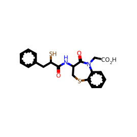 O=C(O)CN1C(=O)C(NC(=O)C(S)Cc2ccccc2)CSc2ccccc21